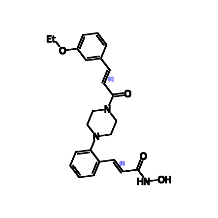 CCOc1cccc(/C=C/C(=O)N2CCN(c3ccccc3/C=C/C(=O)NO)CC2)c1